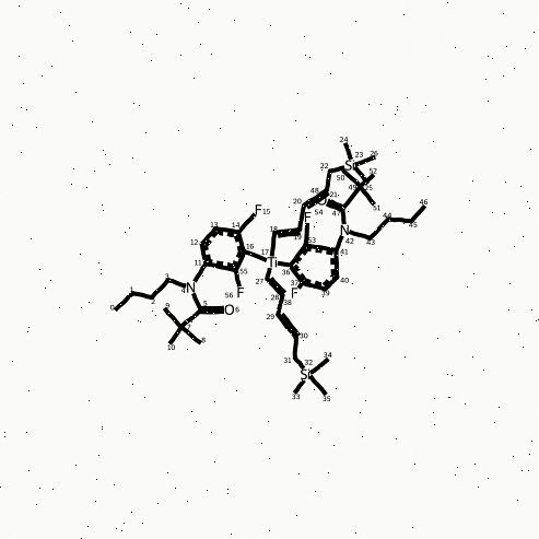 CCCCN(C(=O)C(C)(C)C)c1ccc(F)[c]([Ti]([CH]=CC=CC[Si](C)(C)C)([CH]=CC=CC[Si](C)(C)C)[c]2c(F)ccc(N(CCCC)C(=O)C(C)(C)C)c2F)c1F